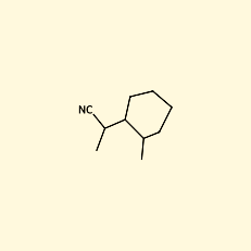 CC(C#N)C1CCCCC1C